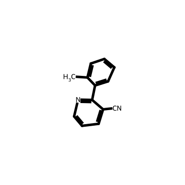 Cc1ccccc1-c1ncccc1C#N